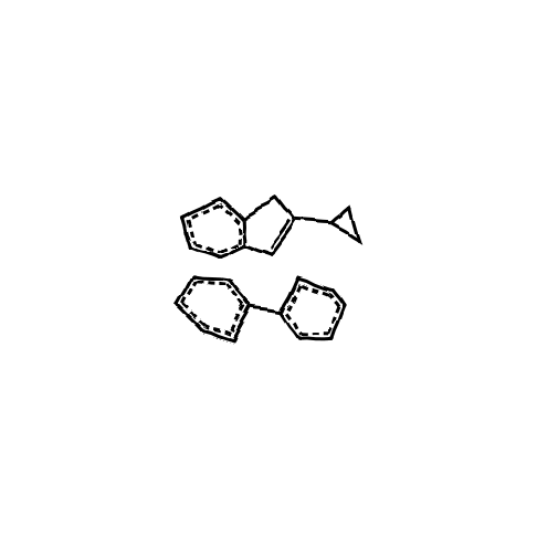 C1=C(C2CC2)Cc2ccccc21.c1ccc(-c2ccccc2)cc1